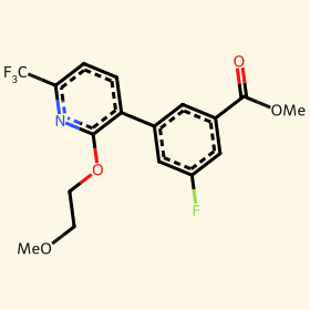 COCCOc1nc(C(F)(F)F)ccc1-c1cc(F)cc(C(=O)OC)c1